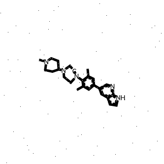 Cc1cc(-c2cnc3[nH]ccc3c2)cc(C)c1N1CCN(C2CCN(C)CC2)CC1